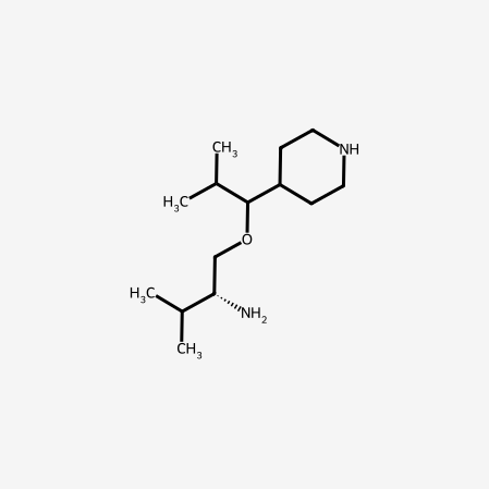 CC(C)C(OC[C@H](N)C(C)C)C1CCNCC1